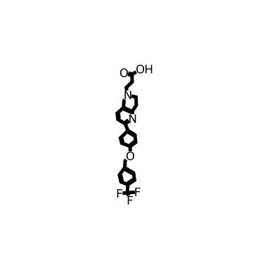 O=C(O)CCN1CCc2nc(-c3ccc(OCc4ccc(C(F)(F)F)cc4)cc3)ccc2C1